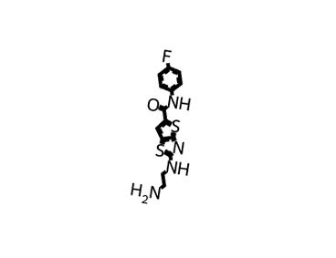 NCCNc1nc2sc(C(=O)Nc3ccc(F)cc3)cc2s1